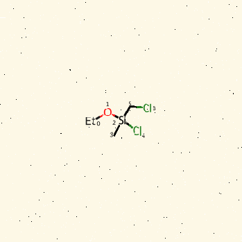 CCO[Si](C)(Cl)CCl